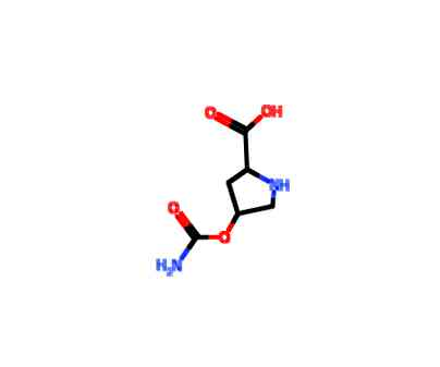 NC(=O)OC1CNC(C(=O)O)C1